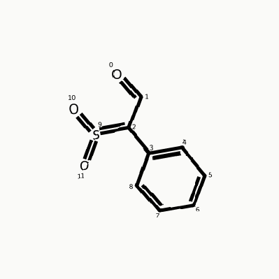 O=[C]C(c1ccccc1)=S(=O)=O